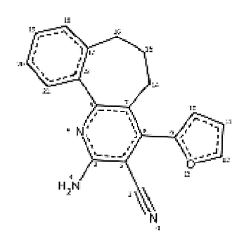 N#Cc1c(N)nc2c(c1-c1ccco1)CCCc1ccccc1-2